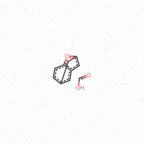 O=CO.c1cc2oc3cc2cc1C3